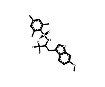 COc1ccc2c(CC(NS(=O)(=O)c3c(C)cc(C)cc3C)C(F)(F)F)c[nH]c2c1